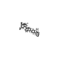 Cc1cc(-c2cnc3cc(-c4ccc(C5COCCN5)cc4)ccn23)c2cc(F)cc(F)c2n1